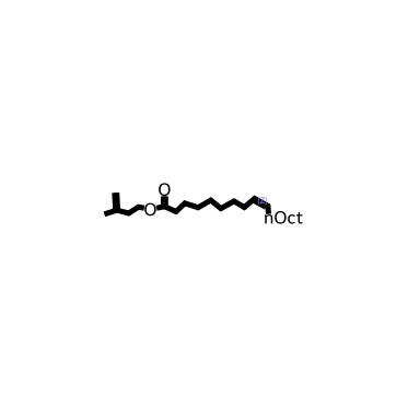 C=C(C)CCOC(=O)CCCCCCC/C=C\CCCCCCCC